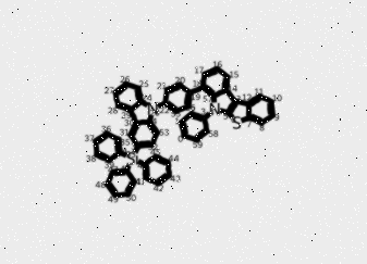 c1ccc(-n2c3sc4ccccc4c3c3cccc(-c4ccc(-n5c6ccccc6c6cc([Si](c7ccccc7)(c7ccccc7)c7ccccc7)ccc65)cc4)c32)cc1